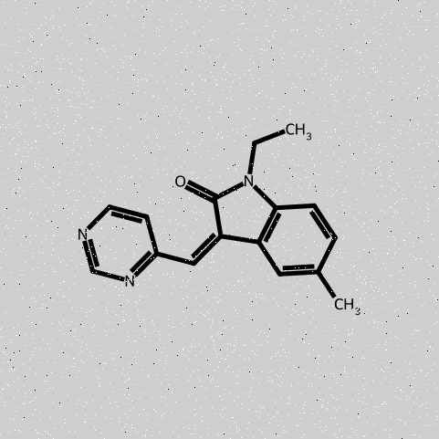 CCN1C(=O)/C(=C\c2ccncn2)c2cc(C)ccc21